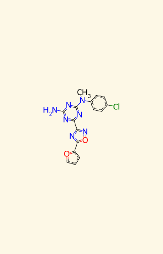 CN(c1ccc(Cl)cc1)c1nc(N)nc(-c2noc(-c3ccco3)n2)n1